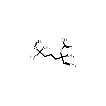 C=CC(C)(CCCC(C)(C)OC)OC(C)=O